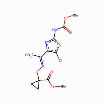 CC(C)(C)OC(=O)Nc1nc(/C(=N/OC2(C(=O)OC(C)(C)C)CC2)C(=O)O)c(Cl)s1